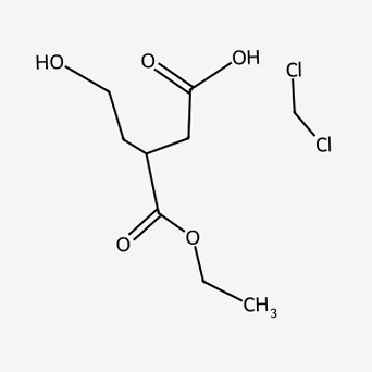 CCOC(=O)C(CCO)CC(=O)O.ClCCl